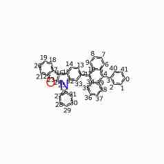 c1ccc(-c2c3ccccc3c(-c3ccc4c5c6ccccc6oc5n(-c5ccccc5)c4c3)c3ccccc23)cc1